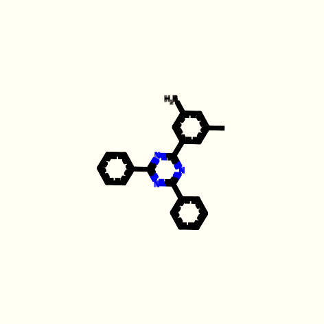 Bc1cc(C)cc(-c2nc(-c3ccccc3)nc(-c3ccccc3)n2)c1